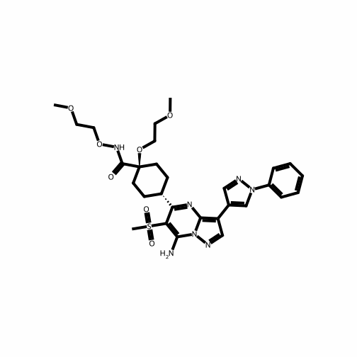 COCCONC(=O)[C@]1(OCCOC)CC[C@H](c2nc3c(-c4cnn(-c5ccccc5)c4)cnn3c(N)c2S(C)(=O)=O)CC1